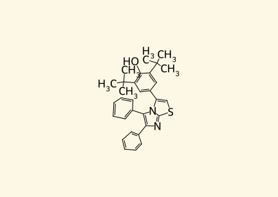 CC(C)(C)c1cc(-c2csc3nc(-c4ccccc4)c(-c4ccccc4)n23)cc(C(C)(C)C)c1O